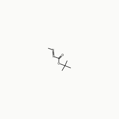 C/N=N/C(=O)OC(C)(C)C